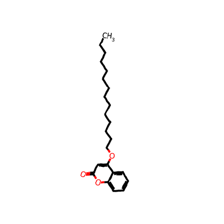 CCCCCCCCCCCCCCOc1cc(=O)oc2ccccc12